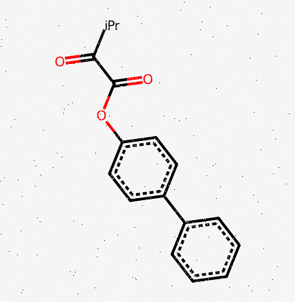 CC(C)C(=O)C(=O)Oc1ccc(-c2ccccc2)cc1